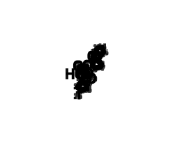 O=C(O)C(Oc1cccc2c1OC1CCCC21)OS(=O)(=O)c1ccc(I)cc1